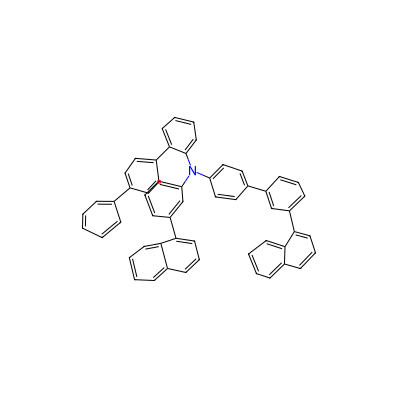 c1ccc(-c2ccc(-c3ccccc3N(c3ccc(-c4cccc(-c5cccc6ccccc56)c4)cc3)c3cccc(-c4cccc5ccccc45)c3)cc2)cc1